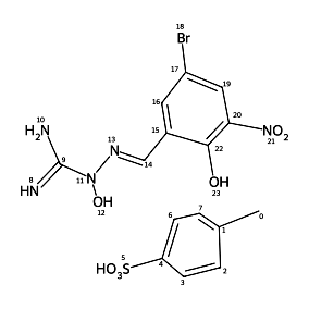 Cc1ccc(S(=O)(=O)O)cc1.N=C(N)N(O)N=Cc1cc(Br)cc([N+](=O)[O-])c1O